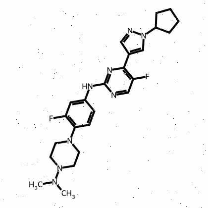 CN(C)N1CCN(c2ccc(Nc3ncc(F)c(-c4cnn(C5CCCC5)c4)n3)cc2F)CC1